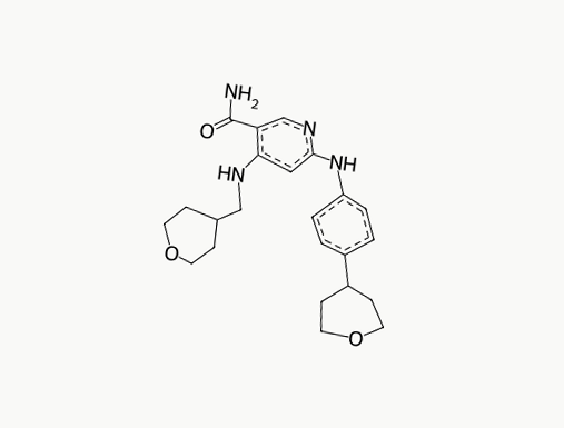 NC(=O)c1cnc(Nc2ccc(C3CCOCC3)cc2)cc1NCC1CCOCC1